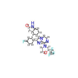 O=C1Cc2cc(-c3c(-c4ccc(F)cc4)nc4c(N5CCO[C@@H](C(F)(F)F)C5)nccn34)ccc2N1